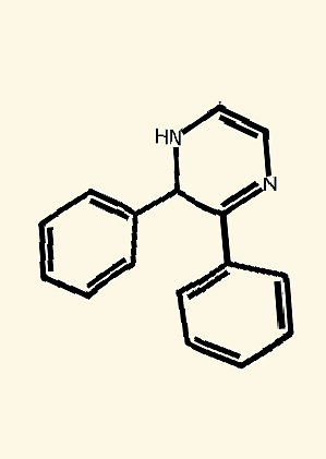 [C]1=CN=C(c2ccccc2)C(c2ccccc2)N1